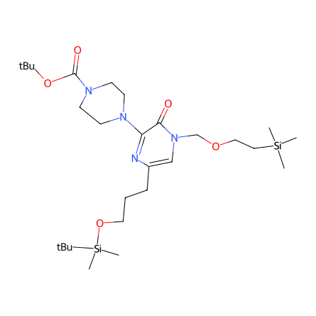 CC(C)(C)OC(=O)N1CCN(c2nc(CCCO[Si](C)(C)C(C)(C)C)cn(COCC[Si](C)(C)C)c2=O)CC1